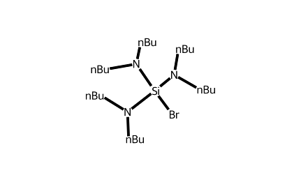 CCCCN(CCCC)[Si](Br)(N(CCCC)CCCC)N(CCCC)CCCC